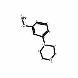 CCCOc1cccc(N2CCOCC2)c1